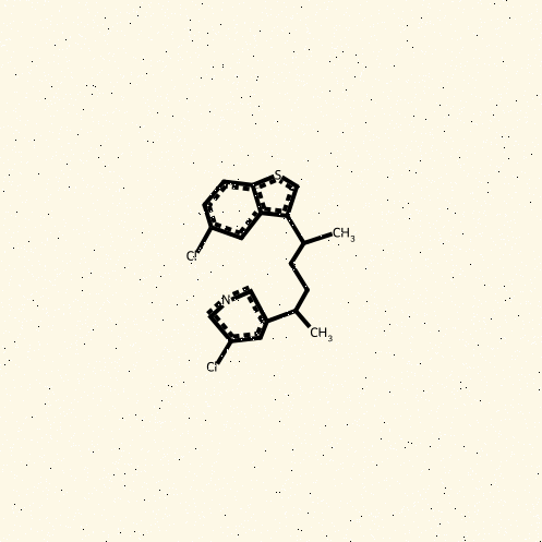 CC(CCC(C)c1csc2ccc(Cl)cc12)c1cncc(Cl)c1